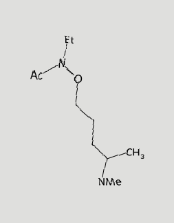 CCN(OCCCC(C)NC)C(C)=O